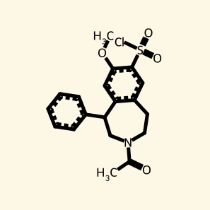 COc1cc2c(cc1S(=O)(=O)Cl)CCN(C(C)=O)CC2c1ccccc1